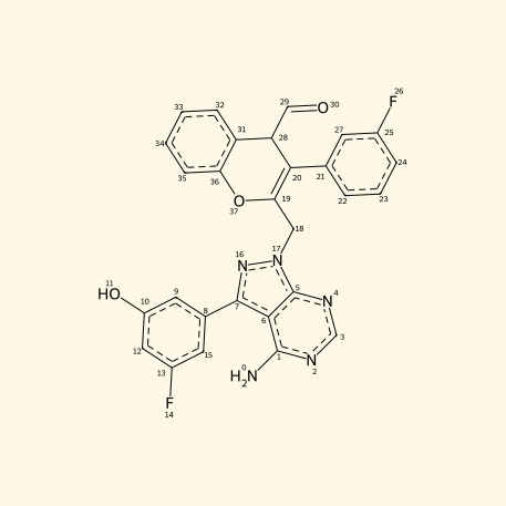 Nc1ncnc2c1c(-c1cc(O)cc(F)c1)nn2CC1=C(c2cccc(F)c2)C(C=O)c2ccccc2O1